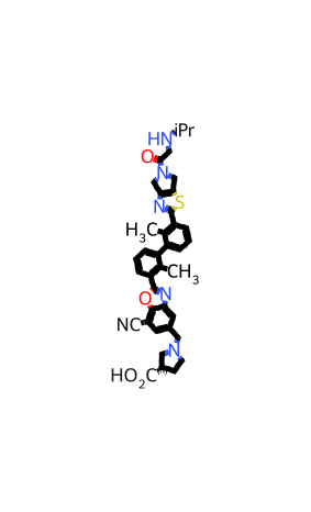 Cc1c(-c2nc3cc(CN4CC[C@@H](C(=O)O)C4)cc(C#N)c3o2)cccc1-c1cccc(-c2nc3c(s2)CN(C(=O)CNC(C)C)C3)c1C